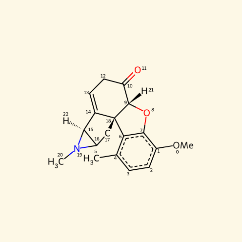 COc1ccc(C)c2c1O[C@H]1C(=O)CC=C3[C@H]4C(C[C@]321)N4C